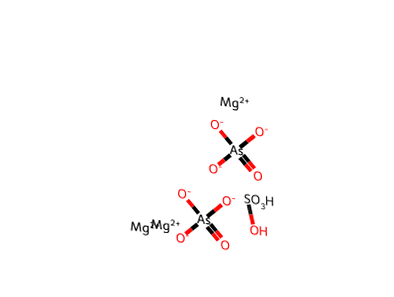 O=S(=O)(O)O.O=[As]([O-])([O-])[O-].O=[As]([O-])([O-])[O-].[Mg+2].[Mg+2].[Mg+2]